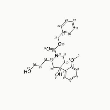 COc1ccccc1C1(O)CCN(C(=O)OCc2ccccc2)C(CCCO)C1